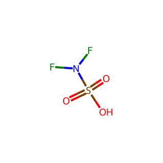 O=S(=O)(O)N(F)F